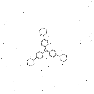 c1c[c]([Sb]([c]2ccc(C3CCCCC3)cc2)[c]2ccc(C3CCCCC3)cc2)ccc1C1CCCCC1